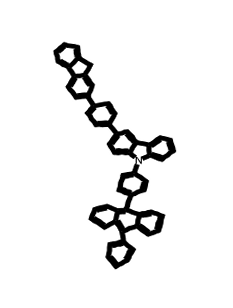 c1ccc(-c2c3ccccc3c(-c3ccc(-n4c5ccccc5c5cc(-c6ccc(-c7ccc8c(c7)Cc7ccccc7-8)cc6)ccc54)cc3)c3ccccc23)cc1